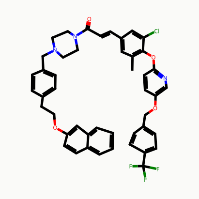 Cc1cc(/C=C/C(=O)N2CCN(Cc3ccc(CCOc4ccc5ccccc5c4)cc3)CC2)cc(Cl)c1Oc1ccc(OCc2ccc(C(F)(F)F)cc2)cn1